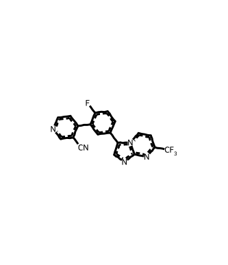 N#Cc1cnccc1-c1cc(-c2cnc3nc(C(F)(F)F)ccn23)ccc1F